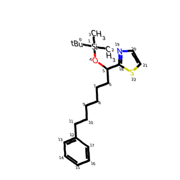 CC(C)(C)[Si](C)(C)OC(CCCCCCc1ccccc1)c1nccs1